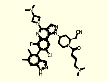 Cc1cc2[nH]ncc2c(-c2c(Cl)cc3c(nc(N4CC(N(C)C)C4)c4cnn([C@H]5CCN(C(=O)/C=C/CN(C)C)[C@H](CC#N)C5)c43)c2F)c1C